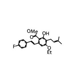 CCOc1cc(C=Cc2ccc(F)cc2)c(C(=O)OC)c(O)c1CC=C(C)C